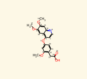 COc1cc(Oc2ccnc3cc(OC)c(OC)cc23)ccc1CC(=O)O